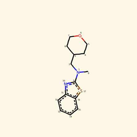 CN(CC1CCOCC1)c1nc2ccccc2s1